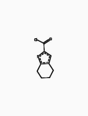 O=C(Cl)c1cc2c(s1)CCCC2